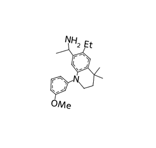 CCc1cc2c(cc1C(C)N)N(c1cccc(OC)c1)CCC2(C)C